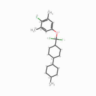 Cc1cc(OC(F)(F)C2CCC(C3CCC(C)CC3)CC2)cc(C)c1F